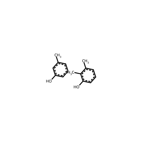 Cc1cccc(O)c1.Cc1cccc(O)c1C